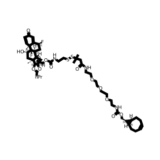 CCCC1O[C@@H]2C[C@H]3[C@@H]4C[C@H](F)C5=CC(=O)C=C[C@]5(C)[C@@]4(F)[C@@H](O)C[C@]3(C)[C@]2(C(=O)COC(=O)NCCSSC(C)(C)CC(=O)NCCOCCOCCOCCNC(=O)OC[C@@H]2[C@@H]3CCC#CCC[C@@H]32)O1